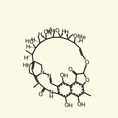 CO[C@H]1/C=C/O[C@@]2(C)Oc3c(C)c(O)c4c(O)c(c(/C=N/N5CCNCC5)c(O)c4c3C2=O)NC(=O)/C(C)=C\C=C\[C@@H](C)[C@@H](O)[C@@H](C)[C@H](O)[C@@H](C)[C@H](OC(C)=O)[C@@H]1C